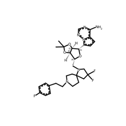 CC1(C)O[C@@H]2[C@H](O1)[C@@H](CN1CC(F)(F)CC13CCN(CCc1ccc(F)cc1)CC3)O[C@H]2c1ccc2c(N)ncnn12